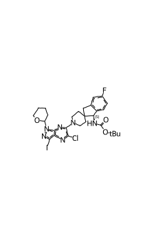 CC(C)(C)OC(=O)N[C@@H]1c2ccc(F)cc2CC12CCN(c1nc3c(nc1Cl)c(I)nn3C1CCCCO1)CC2